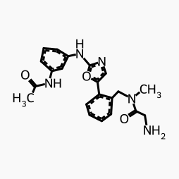 CC(=O)Nc1cccc(Nc2ncc(-c3ccccc3CN(C)C(=O)CN)o2)c1